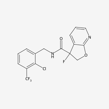 O=C(NCc1cccc(C(F)(F)F)c1Cl)C1(F)COc2ncccc21